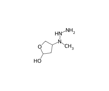 CN(NN)C1COC(O)C1